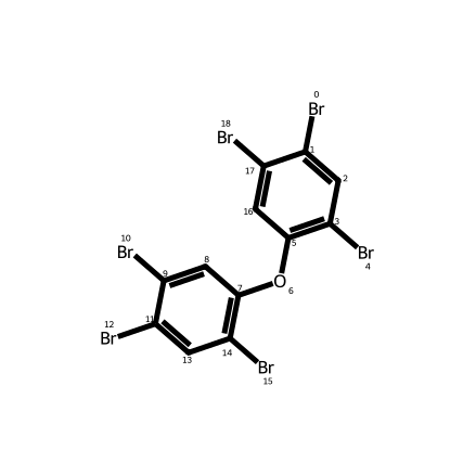 Brc1cc(Br)c(Oc2cc(Br)c(Br)cc2Br)cc1Br